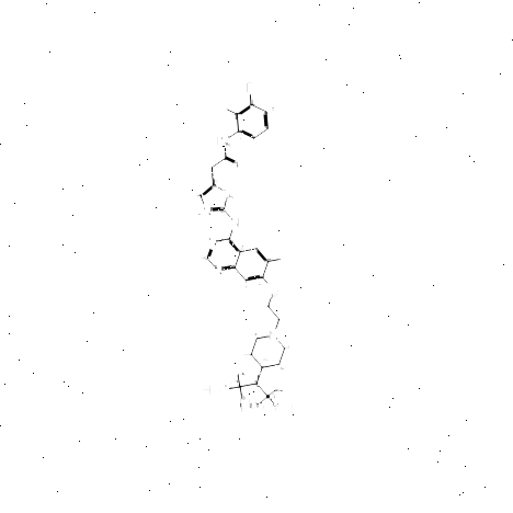 COc1cc2c(Nc3ncc(CC(=O)Nc4cccc(F)c4F)s3)ncnc2cc1OCCN1CCC([C](C(C)(C)C)C(C)(C)C)CC1